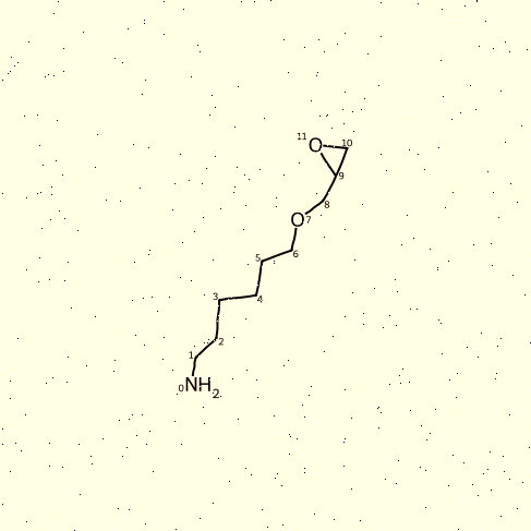 NCCCCCCOCC1CO1